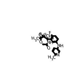 Cc1ccc(Nc2ccc(F)c(C3(C)NC(=O)COC(C)(C)C3(F)F)c2)cn1